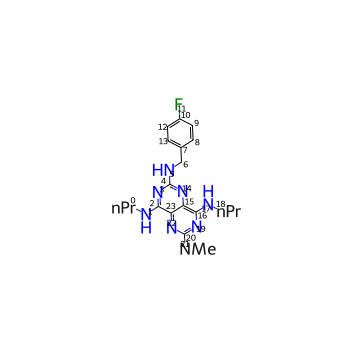 CCCNc1nc(NCc2ccc(F)cc2)nc2c(NCCC)nc(NC)nc12